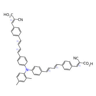 Cc1ccc(N(c2ccc(/C=C/C=C/c3ccc(/C=C(\C#N)C(=O)O)cc3)cc2)c2ccc(/C=C/C=C/c3ccc(/C=C(\C#N)C(=O)O)cc3)cc2)c(C)c1